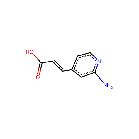 Nc1cc(C=CC(=O)O)ccn1